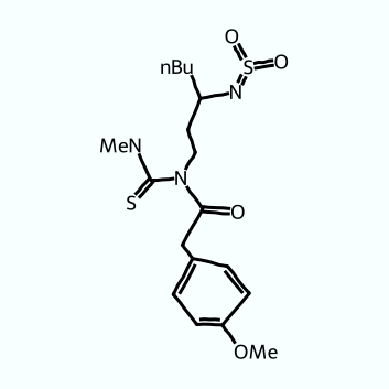 CCCCC(CCN(C(=O)Cc1ccc(OC)cc1)C(=S)NC)N=S(=O)=O